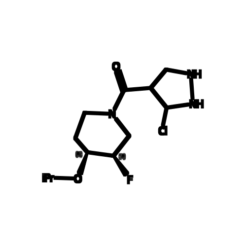 CC(C)O[C@H]1CCN(C(=O)C2CNNC2Cl)C[C@H]1F